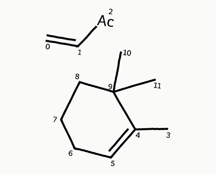 C=CC(C)=O.CC1=CCCCC1(C)C